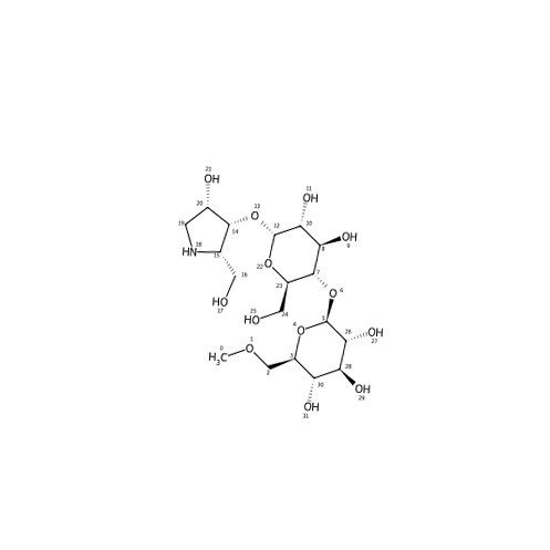 COC[C@H]1O[C@@H](O[C@H]2[C@H](O)[C@@H](O)[C@@H](O[C@@H]3[C@H](CO)NC[C@@H]3O)O[C@@H]2CO)[C@H](O)[C@@H](O)[C@@H]1O